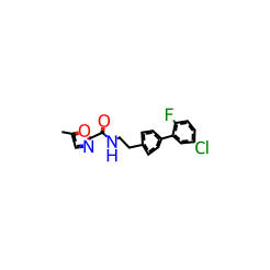 Cc1cnc(C(=O)NCCc2ccc(-c3cc(Cl)ccc3F)cc2)o1